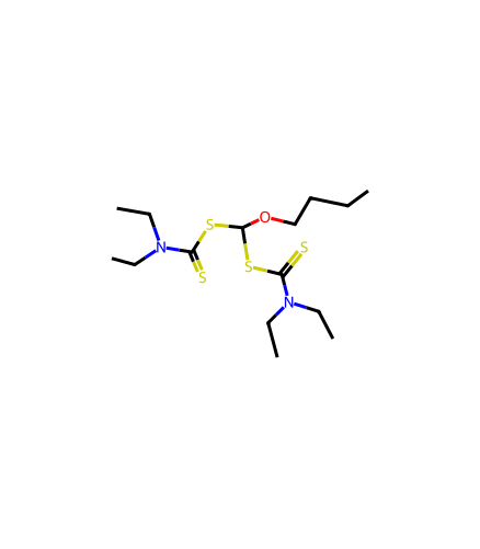 CCCCOC(SC(=S)N(CC)CC)SC(=S)N(CC)CC